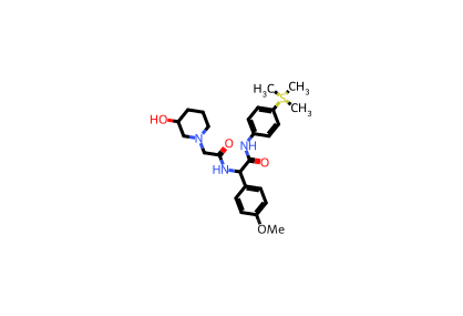 COc1ccc(C(NC(=O)CN2CCCC(O)C2)C(=O)Nc2ccc(S(C)(C)C)cc2)cc1